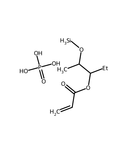 C=CC(=O)OC(CC)C(C)O[SiH3].O=P(O)(O)O